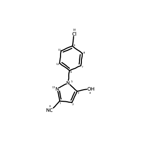 N#Cc1cc(O)n(-c2ccc(Cl)cc2)n1